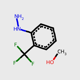 CO.NNc1ccccc1C(F)(F)F